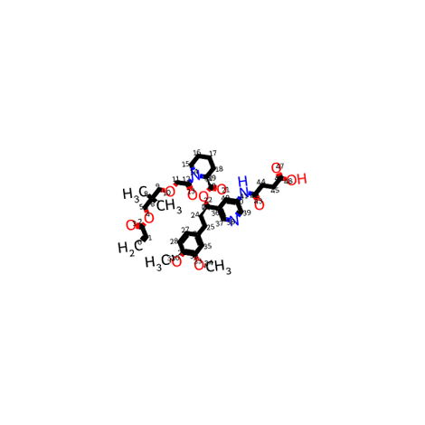 C=CC(=O)OCC(C)(C)COCC(=O)N1CCCC[C@H]1C(=O)O[C@H](CCc1ccc(OC)c(OC)c1)c1cncc(NC(=O)CCC(=O)O)c1